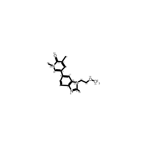 Cc1cc(-c2ccc3nc(C)n(CCOC(F)(F)F)c3c2)cn(C)c1=O